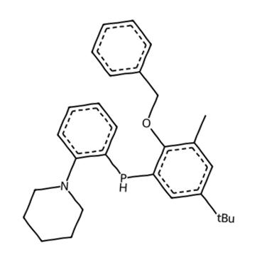 Cc1cc(C(C)(C)C)cc(Pc2ccccc2N2CCCCC2)c1OCc1ccccc1